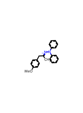 COc1ccc(C/C(C)=N/N(c2ccccc2)c2ccccc2)cc1